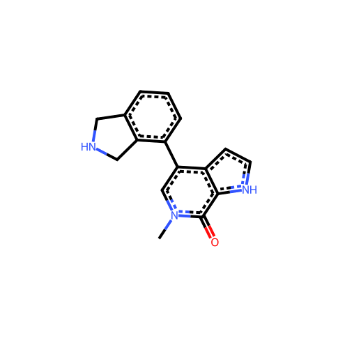 Cn1cc(-c2cccc3c2CNC3)c2cc[nH]c2c1=O